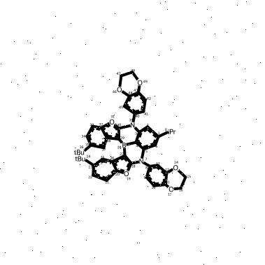 CC(C)c1cc2c3c(c1)N(c1ccc4c(c1)OCCO4)c1oc4ccc(C(C)(C)C)cc4c1B3c1c(oc3ccc(C(C)(C)C)cc13)N2c1ccc2c(c1)OCCO2